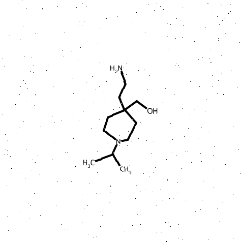 CC(C)N1CCC(CO)(CCN)CC1